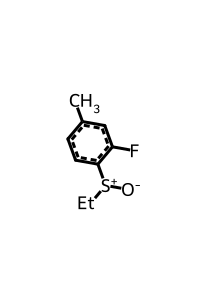 CC[S+]([O-])c1ccc(C)cc1F